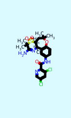 CC1(C)C[C@@H]2[C@](C)(N=C(N)C(C)(C)S2(=O)=O)c2cc(NC(=O)c3ncc(Cl)cc3Cl)ccc2O1